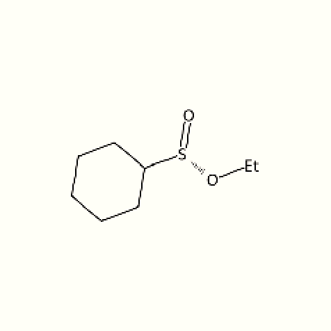 CCO[S@@](=O)C1CCCCC1